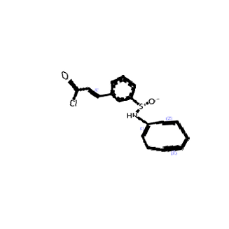 O=C(Cl)/C=C/c1cccc([S+]([O-])NC2=C/C/C=C\C/C=C\2)c1